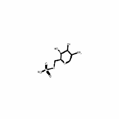 NC1COC(COS(=O)(=O)O)[C@@H](O)C1O